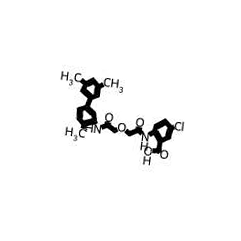 Cc1cc(C)cc(-c2ccc(C)c(NC(=O)COCC(=O)Nc3ccc(Cl)cc3C(=O)O)c2)c1